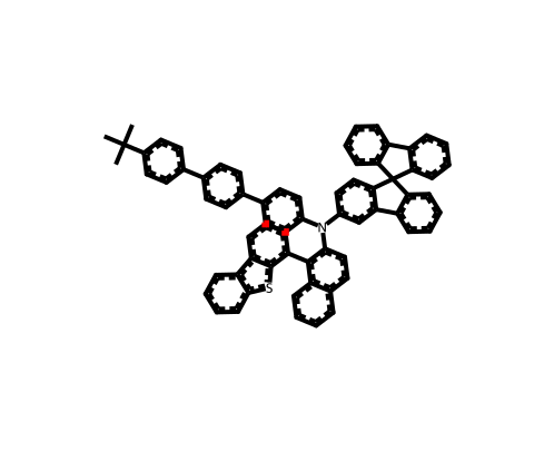 CC(C)(C)c1ccc(-c2ccc(-c3ccc(N(c4ccc5c(c4)-c4ccccc4C54c5ccccc5-c5ccccc54)c4ccc5ccccc5c4-c4cccc5c4sc4ccccc45)cc3)cc2)cc1